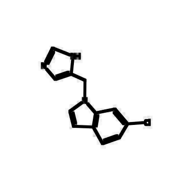 Clc1ccc2ccn(Cc3cnc[nH]3)c2c1